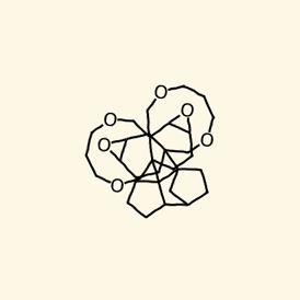 C1COCC2C3OC3CCC2(C23CCC(C2)C2CCCC23C23CCC4OC4C2COCCCOC3)COC1